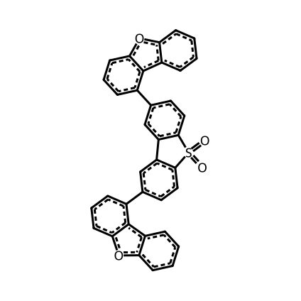 O=S1(=O)c2ccc(-c3cccc4oc5ccccc5c34)cc2-c2cc(-c3cccc4oc5ccccc5c34)ccc21